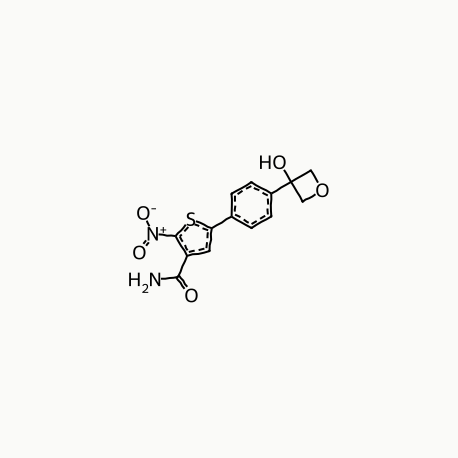 NC(=O)c1cc(-c2ccc(C3(O)COC3)cc2)sc1[N+](=O)[O-]